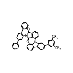 O=C1c2cccc(-n3c4ccccc4c4ccc(-c5cc(C(F)(F)F)cc(C(F)(F)F)c5)cc43)c2C(=O)N1c1cc(-c2ccccc2)ccc1-c1ccccc1